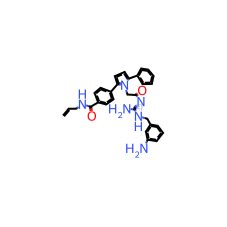 C=CCNC(=O)c1ccc(-c2ccc(-c3ccccc3)n2CC(=O)/N=C(\N)NCc2cccc(N)c2)cc1